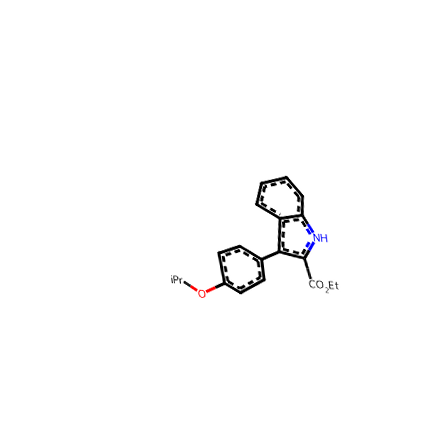 CCOC(=O)c1[nH]c2ccccc2c1-c1ccc(OC(C)C)cc1